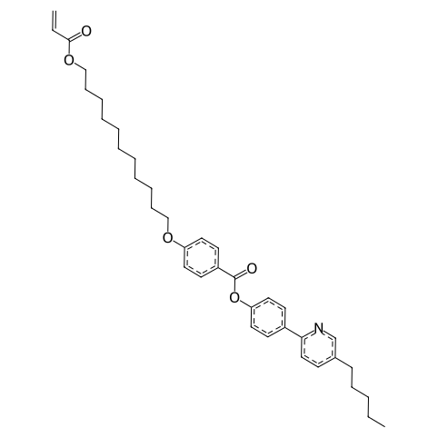 C=CC(=O)OCCCCCCCCCCCOc1ccc(C(=O)Oc2ccc(-c3ccc(CCCCC)cn3)cc2)cc1